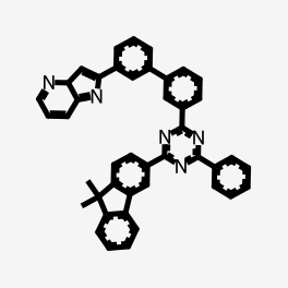 CC1(C)c2ccccc2-c2cc(-c3nc(-c4ccccc4)nc(-c4cccc(-c5cccc(C6=CC7N=CC=CC7=N6)c5)c4)n3)ccc21